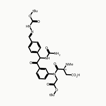 CN[C@@H](CC(=O)O)C(=O)N(CC(=O)OC(C)(C)C)c1cccc(C(=O)C(NC(N)=O)c2ccc(C=NNC(=O)OC(C)(C)C)cc2)c1